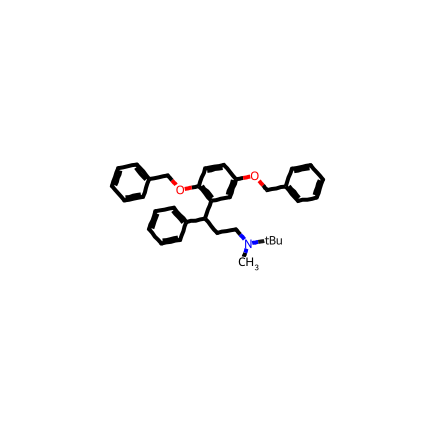 CN(CCC(c1ccccc1)c1cc(OCc2ccccc2)ccc1OCc1ccccc1)C(C)(C)C